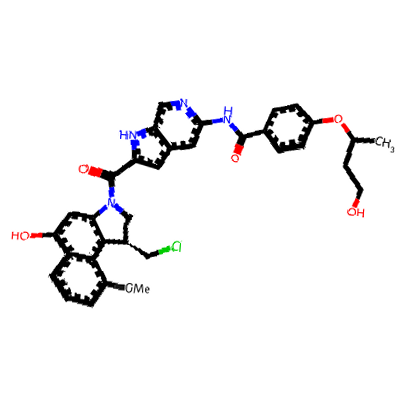 COc1cccc2c(O)cc3c(c12)[C@H](CCl)CN3C(=O)c1cc2cc(NC(=O)c3ccc(OC(C)CCO)cc3)ncc2[nH]1